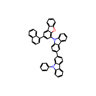 c1ccc(-n2c3ccccc3c3ccc(-c4ccc5c(c4)c4ccccc4n5-c4cc(-c5cccc6ccccc56)cc5c4oc4ccccc45)cc32)cc1